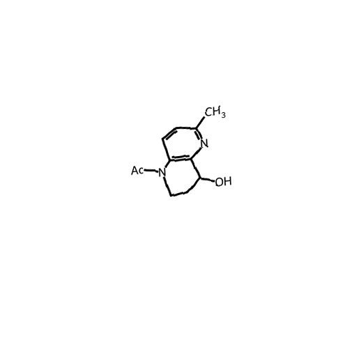 CC(=O)N1CCC(O)c2nc(C)ccc21